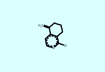 C=C1CCCc2c1ccnc2Cl